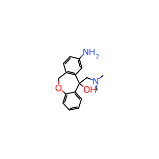 CN(C)CC1(O)c2cc(N)ccc2COc2ccccc21